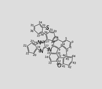 c1cc2c3c(c1)ccc1c3c3c4c(ccc3n1-c1nc3ccccc3nc1-c1cccc3sc5ccccc5c13)oc1cccc-2c14